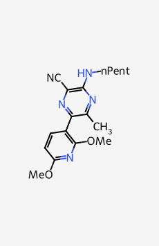 CCCCCNc1nc(C)c(-c2ccc(OC)nc2OC)nc1C#N